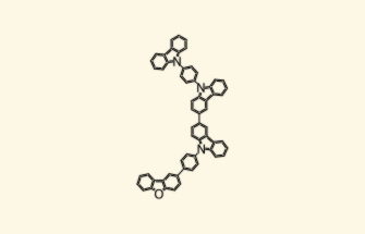 c1ccc2c(c1)oc1ccc(-c3ccc(-n4c5ccccc5c5cc(-c6ccc7c(c6)c6ccccc6n7-c6ccc(-n7c8ccccc8c8ccccc87)cc6)ccc54)cc3)cc12